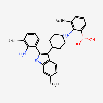 CC(=O)Nc1cccc(-c2[nH]c3cc(C(=O)O)ccc3c2C2CCCCC2)c1N.CC(=O)Nc1cccc(B(O)O)c1N